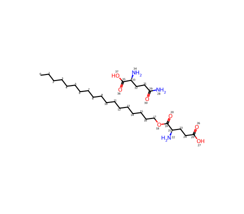 CCCCCCCCCCCCCCCCCCOC(=O)[C@H](N)CCC(=O)O.NC(=O)CC[C@H](N)C(=O)O